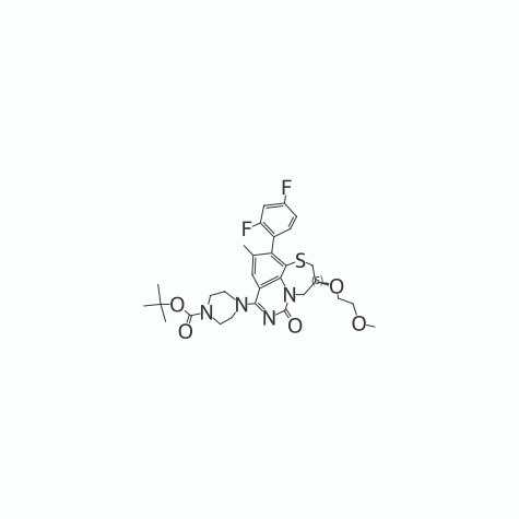 COCCO[C@@H]1CSc2c(-c3ccc(F)cc3F)c(C)cc3c(N4CCN(C(=O)OC(C)(C)C)CC4)nc(=O)n(c23)C1